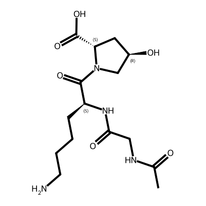 CC(=O)NCC(=O)N[C@@H](CCCCN)C(=O)N1C[C@H](O)C[C@H]1C(=O)O